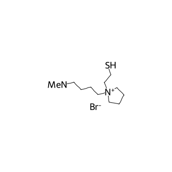 CNCCCC[N+]1(CCS)CCCC1.[Br-]